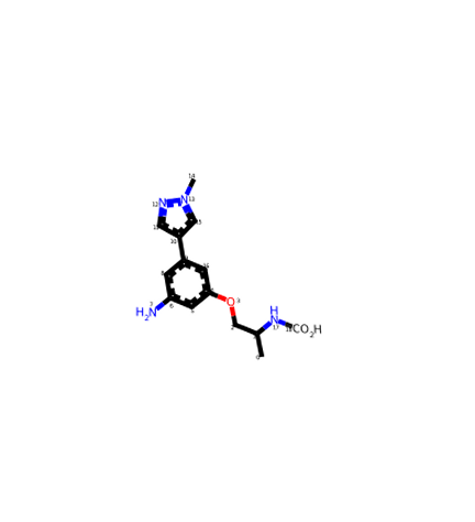 CC(COc1cc(N)cc(-c2cnn(C)c2)c1)NC(=O)O